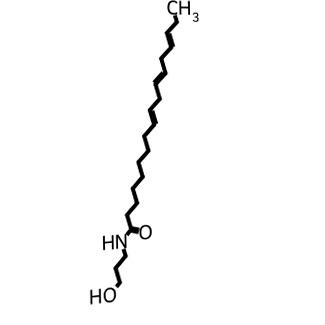 CCC=CCC=CCC=CCCCCCCCC(=O)NCCCO